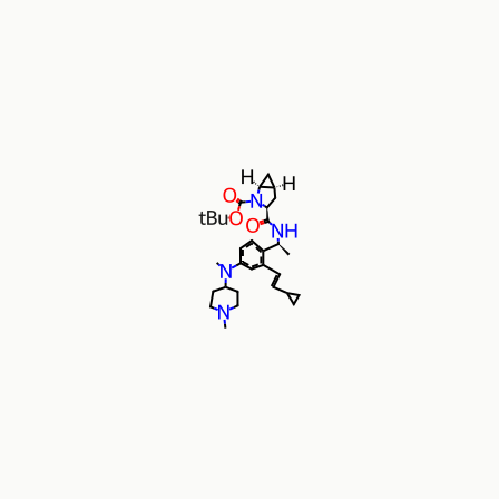 C[C@H](NC(=O)[C@@H]1C[C@@H]2C[C@@H]2N1C(=O)OC(C)(C)C)c1ccc(N(C)C2CCN(C)CC2)cc1/C=C/C1CC1